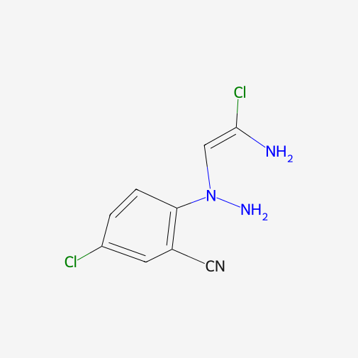 N#Cc1cc(Cl)ccc1N(N)/C=C(\N)Cl